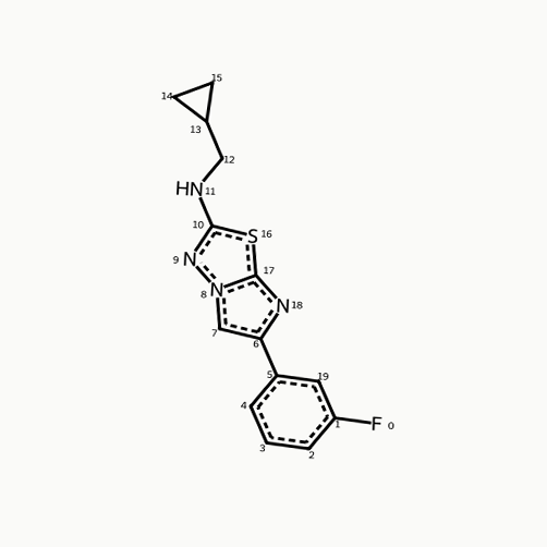 Fc1cccc(-c2cn3nc(NCC4CC4)sc3n2)c1